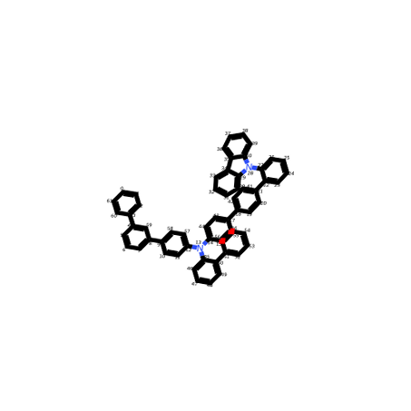 c1ccc(-c2cccc(-c3ccc(N(c4ccc(-c5ccc(-c6ccccc6-n6c7ccccc7c7ccccc76)cc5)cc4)c4ccccc4-c4ccccc4)cc3)c2)cc1